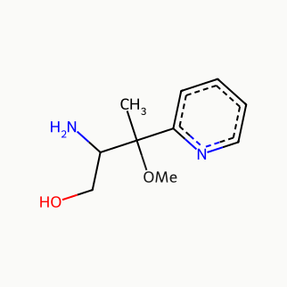 COC(C)(c1ccccn1)C(N)CO